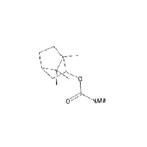 CNC(=O)OC1CC2CCC1(C)C2(C)C